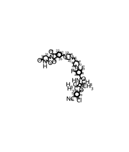 CC1(C)[C@H](NC(=O)c2cc(F)c(N3CCC(CN4CCN(c5ccc6c(c5)C(=O)N(C5CCC(=O)NC5=O)C6=O)CC4)CC3)c(F)c2)C(C)(C)[C@H]1Oc1ccc(C#N)c(Cl)c1